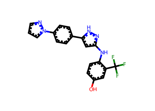 Oc1ccc(Nc2cc(-c3ccc(-n4cccn4)cc3)[nH]n2)c(C(F)(F)F)c1